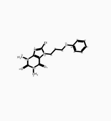 CCc1nc2c(c(=O)n(C)c(=O)n2C)n1CCCOc1ccccc1